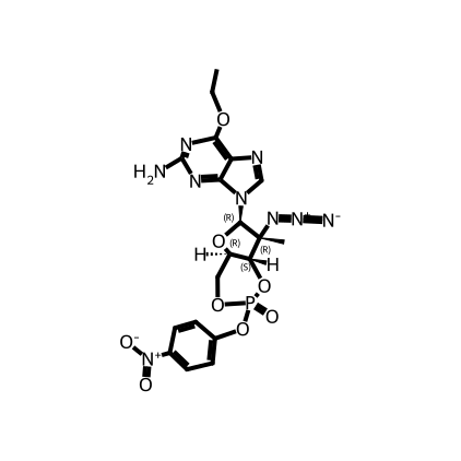 CCOc1nc(N)nc2c1ncn2[C@@H]1O[C@@H]2COP(=O)(Oc3ccc([N+](=O)[O-])cc3)O[C@H]2[C@@]1(C)N=[N+]=[N-]